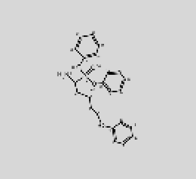 NC(CCCCOc1ccccc1)P(=O)(Oc1ccccc1)Oc1ccccc1